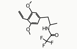 C=Cc1c(OC)cc(CC(C)NC(=O)C(F)(F)F)cc1OC